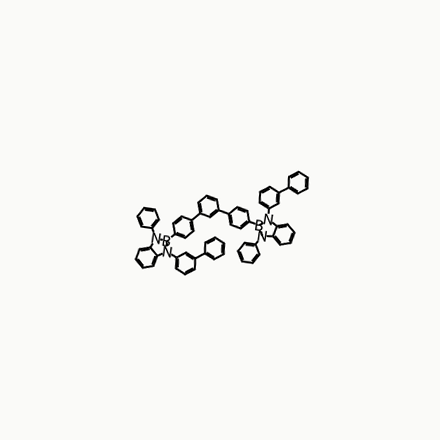 c1ccc(-c2cccc(N3B(c4ccc(-c5cccc(-c6ccc(B7N(c8ccccc8)c8ccccc8N7c7cccc(-c8ccccc8)c7)cc6)c5)cc4)N(c4ccccc4)c4ccccc43)c2)cc1